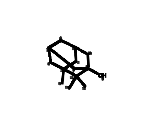 CC12CC3CC(C1)CC(O)(C3)C2(C)C